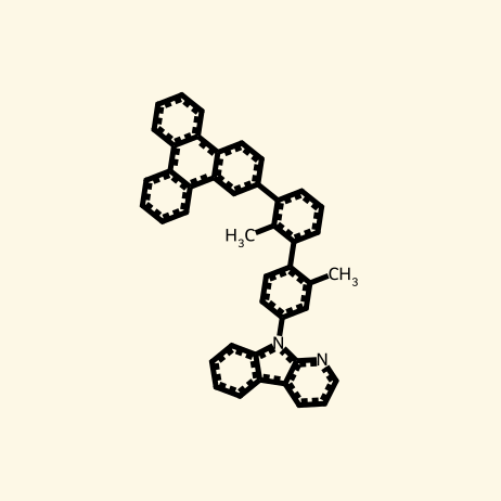 Cc1cc(-n2c3ccccc3c3cccnc32)ccc1-c1cccc(-c2ccc3c4ccccc4c4ccccc4c3c2)c1C